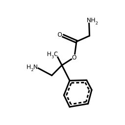 CC(CN)(OC(=O)CN)c1ccccc1